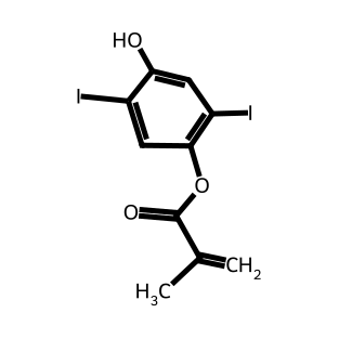 C=C(C)C(=O)Oc1cc(I)c(O)cc1I